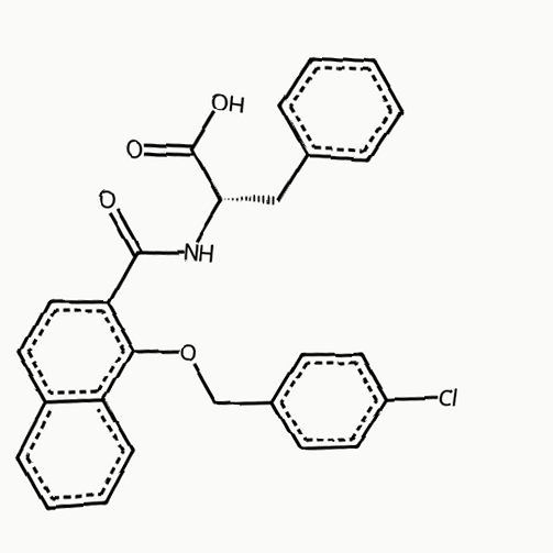 O=C(N[C@@H](Cc1ccccc1)C(=O)O)c1ccc2ccccc2c1OCc1ccc(Cl)cc1